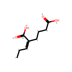 CCC=C(CCCC(=O)O)C(=O)O